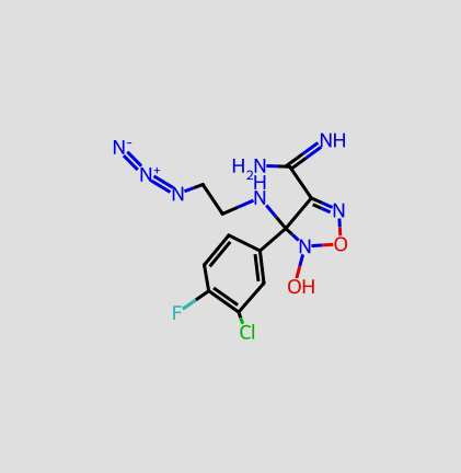 [N-]=[N+]=NCCNC1(c2ccc(F)c(Cl)c2)C(C(=N)N)=NON1O